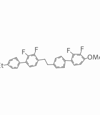 CCc1ccc(-c2ccc(CCc3ccc(-c4ccc(OC)c(F)c4F)cc3)c(F)c2F)cc1